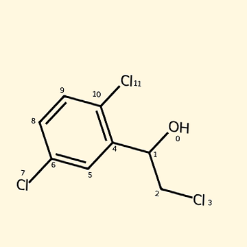 OC(CCl)c1cc(Cl)ccc1Cl